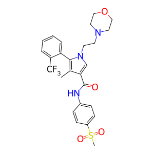 Cc1c(C(=O)Nc2ccc(S(C)(=O)=O)cc2)cn(CCN2CCOCC2)c1-c1ccccc1C(F)(F)F